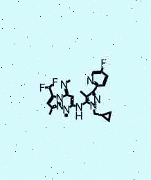 C=N/C(=C\C(=N/C)n1nc(C)cc1C(F)F)Nc1c(C)c(-c2ccc(F)cn2)nn1CC1CC1